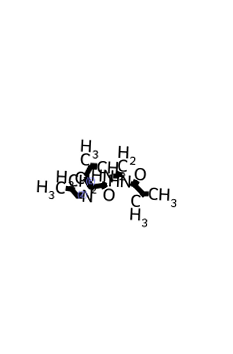 C=C(C)/C=N\C(C(=O)NC(=C)NC(=O)C(C)C)=C(/C)C(=C)C